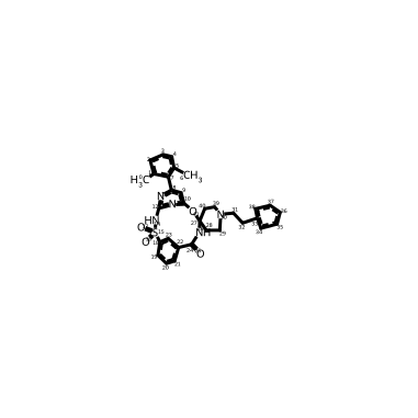 Cc1cccc(C)c1-c1cc2nc(n1)NS(=O)(=O)c1cccc(c1)C(=O)NC1(CCN(CCc3ccccc3)CC1)O2